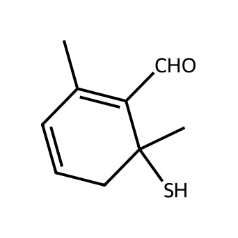 CC1=C(C=O)C(C)(S)CC=C1